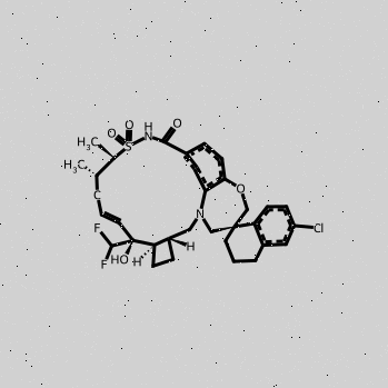 C[C@@H]1[C@@H](C)C/C=C/[C@@](O)(C(F)F)[C@@H]2CC[C@H]2CN2C[C@@]3(CCCc4cc(Cl)ccc43)COc3ccc(cc32)C(=O)NS1(=O)=O